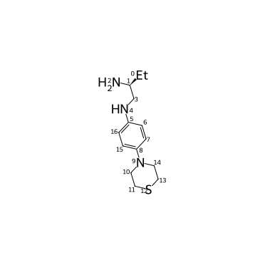 CC[C@H](N)CNc1ccc(N2CCSCC2)cc1